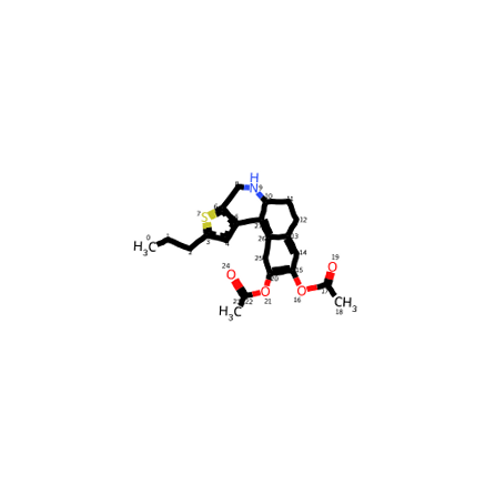 CCCc1cc2c(s1)CNC1CCC3=CC(OC(C)=O)=C(OC(C)=O)CC3=C21